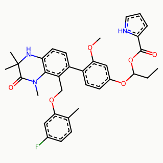 CCC(OC(=O)c1ccc[nH]1)Oc1ccc(-c2ccc3c(c2COc2cc(F)ccc2C)N(C)C(=O)C(C)(C)N3)c(OC)c1